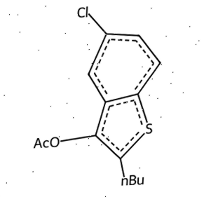 CCCCc1sc2ccc(Cl)cc2c1OC(C)=O